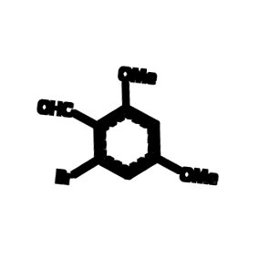 COc1cc(Br)c(C=O)c(OC)c1